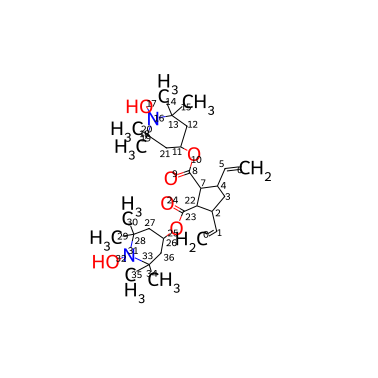 C=CC1CC(C=C)C(C(=O)OC2CC(C)(C)N(O)C(C)(C)C2)C1C(=O)OC1CC(C)(C)N(O)C(C)(C)C1